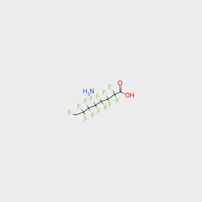 N.O=C(O)C(F)(F)C(F)(F)C(F)(F)C(F)(F)C(F)(F)C(F)(F)CF